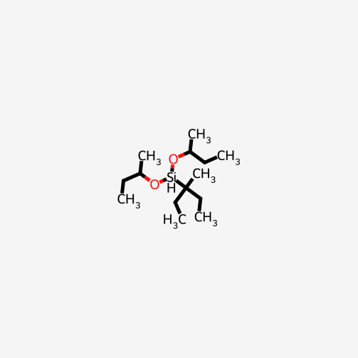 CCC(C)O[SiH](OC(C)CC)C(C)(CC)CC